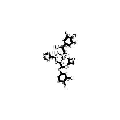 CC1OCC1OC(Sc1ccc(Cl)c(Cl)c1)[C@H](CN(N)/C=C(\N)c1cc(F)c(Cl)c(F)c1)OCc1nnn[nH]1